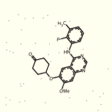 COc1cc2ncnc(Nc3cccc(C)c3F)c2cc1OC1CCC(=O)CC1